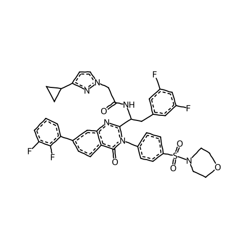 O=C(Cn1ccc(C2CC2)n1)NC(Cc1cc(F)cc(F)c1)c1nc2cc(-c3cccc(F)c3F)ccc2c(=O)n1-c1ccc(S(=O)(=O)N2CCOCC2)cc1